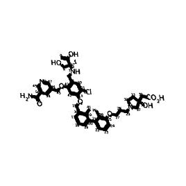 C=C(O)[C@](C)(CO)NCc1cc(Cl)c(OCc2cccc(-c3cccc(OCCCN4CCC(O)(CC(=O)O)C4)c3C)c2C)cc1OCc1cncc(C(N)=O)c1